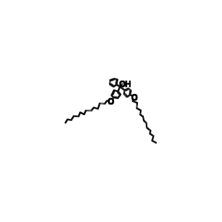 CCCCCCCCCCCCCCOc1ccc(C(O)(c2ccccc2)c2ccc(OCCCCCCCCCCCCCC)cc2)cc1